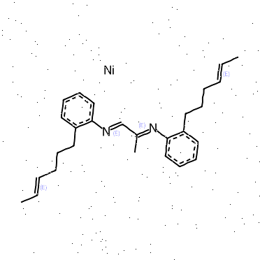 C/C=C/CCCc1ccccc1/N=C/C(C)=N/c1ccccc1CCC/C=C/C.[Ni]